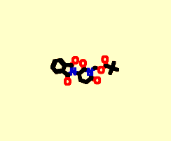 CC(C)(C)C(=O)OCN1C(=O)CCC(N2C(=O)c3ccccc3C2=O)C1=O